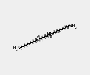 NCCCCCCCCCCCCNC(=O)CCCCCCC(=O)NCCCCCCCCCCCCN